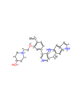 COc1ccc(-c2cncc(C#N)c2Nc2ccc3[nH]ccc3c2)cc1OCCN1CCC(O)CC1